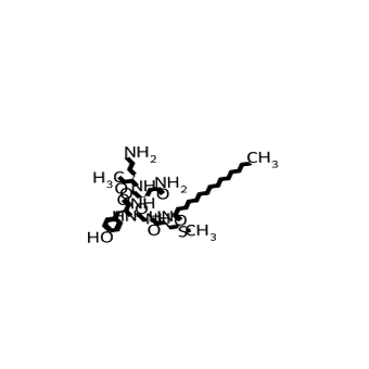 CCCCCCCCCCCCCCCC(=O)N[C@@H](CCSC)C(=O)NCC(=O)N[C@@H](Cc1ccc(O)cc1)C(=O)N[C@@H](CCC(N)=O)C(=O)N[C@@H](CCCCN)C(C)=O